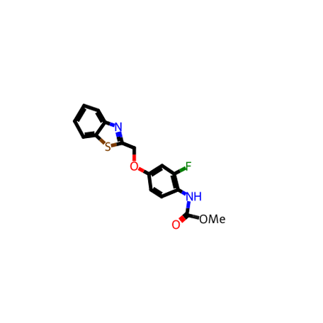 COC(=O)Nc1ccc(OCc2nc3ccccc3s2)cc1F